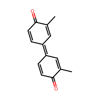 CC1=C/C(=C2/C=CC(=O)C(C)=C2)C=CC1=O